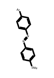 CSc1ccc(/N=N/c2ccc(C(C)=O)cc2)cc1